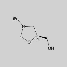 CC(C)N1CO[C@H](CO)C1